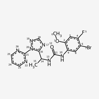 COc1cc(F)c(Br)cc1NC(=O)NC(C)c1ncnn1-c1ncccn1